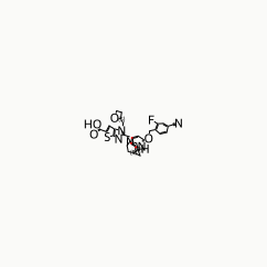 N#Cc1ccc(COc2cccc([C@@]34CCN(Cc5nc6sc(C(=O)O)cc6n5C[C@@H]5CCO5)C[C@@H]3C4)n2)c(F)c1